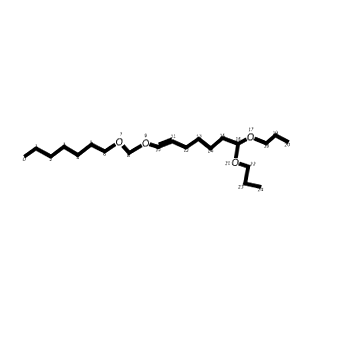 CCCCCCCOCOC=CCCCCC(OCCC)OCCC